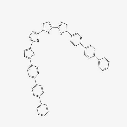 c1ccc(-c2ccc(-c3ccc(-c4ccc(-c5ccc(-c6ccc(-c7ccc(-c8ccc(-c9ccc(-c%10ccccc%10)cc9)cc8)s7)s6)s5)s4)cc3)cc2)cc1